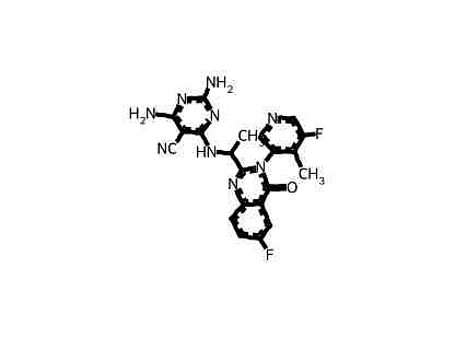 Cc1c(F)cncc1-n1c(C(C)Nc2nc(N)nc(N)c2C#N)nc2ccc(F)cc2c1=O